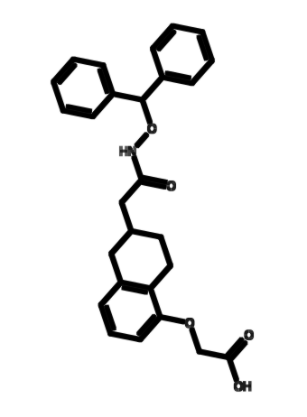 O=C(O)COc1cccc2c1CCC(CC(=O)NOC(c1ccccc1)c1ccccc1)C2